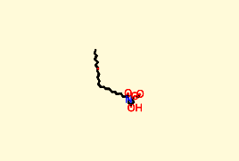 CC/C=C/C/C=C/C/C=C/C/C=C\C/C=C/C/C=C/CCC(=O)N1CC(O)CC1OC=O